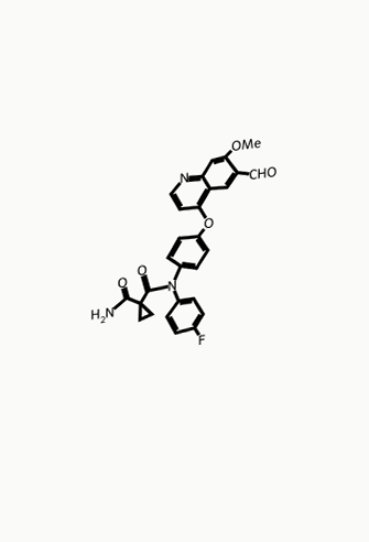 COc1cc2nccc(Oc3ccc(N(C(=O)C4(C(N)=O)CC4)c4ccc(F)cc4)cc3)c2cc1C=O